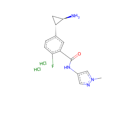 Cl.Cl.Cn1cc(NC(=O)c2cc([C@@H]3C[C@H]3N)ccc2F)cn1